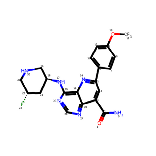 NC(=O)c1cc(-c2ccc(OC(F)(F)F)cc2)nc2c(N[C@@H]3CNC[C@@H](F)C3)ncnc12